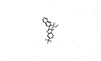 CCS(=O)(=O)c1cc2cnccc2cc1-c1nc2cc(C(F)(F)F)ncc2n1C